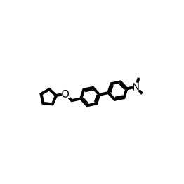 CN(C)c1ccc(-c2ccc(COC3CCCC3)cc2)cc1